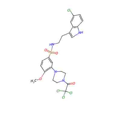 COc1ccc(S(=O)(=O)NCCc2c[nH]c3ccc(Cl)cc23)cc1N1CCN(C(=O)C(Cl)(Cl)Cl)CC1